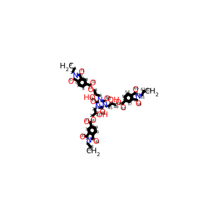 C=CCN1C(=O)c2ccc(C(=O)OCC(O)Cn3c(=O)n(CC(O)COC(=O)c4ccc5c(c4)C(=O)N(CC=C)C5=O)c(=O)n(CC(O)COC(=O)c4ccc5c(c4)C(=O)N(CC=C)C5=O)c3=O)cc2C1=O